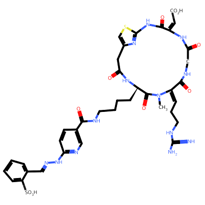 CN1C(=O)[C@@H](CCCCNC(=O)c2ccc(NN=Cc3ccccc3S(=O)(=O)O)nc2)NC(=O)Cc2csc(n2)NC(=O)/C(=C\C(=O)O)NC(=O)CNC(=O)/C1=C/CCNC(=N)N